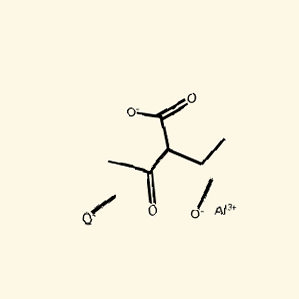 CCC(C(C)=O)C(=O)[O-].C[O-].C[O-].[Al+3]